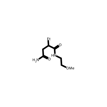 CC[C](CC(N)=O)C(=O)NCCOC